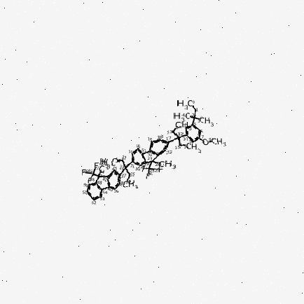 CCC(C)(C)c1cc(OC)cc(C(CC)(CC)c2ccc3c(c2)C(C)(C(F)(F)F)c2cc(C(CC)(CC)c4ccc5c(c4)C(C)(C(F)(F)F)c4ccccc4-5)ccc2-3)c1